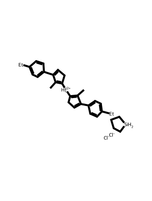 C1CC[SiH2]C1.CCc1ccc(C2=CC[C]([Hf+2][C]3=C(C)C(c4ccc(CC)cc4)=CC3)=C2C)cc1.[Cl-].[Cl-]